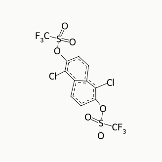 O=S(=O)(Oc1ccc2c(Cl)c(OS(=O)(=O)C(F)(F)F)ccc2c1Cl)C(F)(F)F